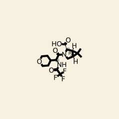 CC1(C)[C@@H]2[C@@H](C(=O)O)N(C(=O)[C@@H](NC(=O)C(F)(F)F)C3CCOCC3)C[C@@H]21